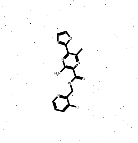 Cc1nc(C(=O)NCc2ncccc2Cl)c(N)nc1-c1ncco1